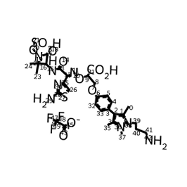 Cc1c(-c2ccc(OCC(ON=C(C(=O)NC3C(=O)N(OS(=O)(=O)O)C3(C)C)c3csc(N)n3)C(=O)O)cc2)c(C)[n+](C)n1CCCN.O=C([O-])C(F)(F)F